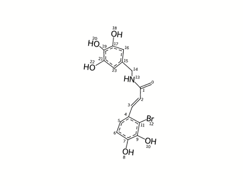 C=C(/C=C/c1ccc(O)c(O)c1Br)NCc1cc(O)c(O)c(O)c1